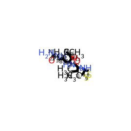 CC(C)CC(NC1CSSC1C)C(=O)NC(CCCNC(N)=O)C(=O)C(C)(C)C